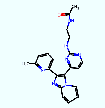 CC(=O)NCCNc1nccc(-c2c(-c3cccc(C)n3)nc3ccccn23)n1